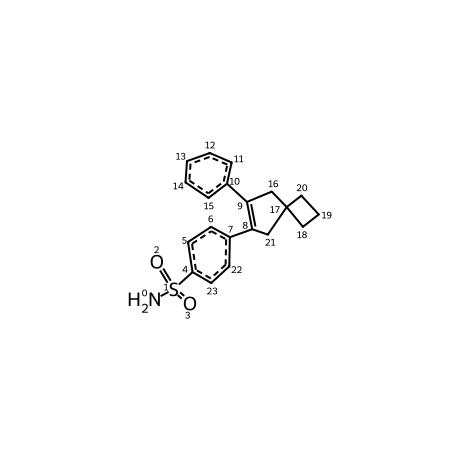 NS(=O)(=O)c1ccc(C2=C(c3ccccc3)CC3(CCC3)C2)cc1